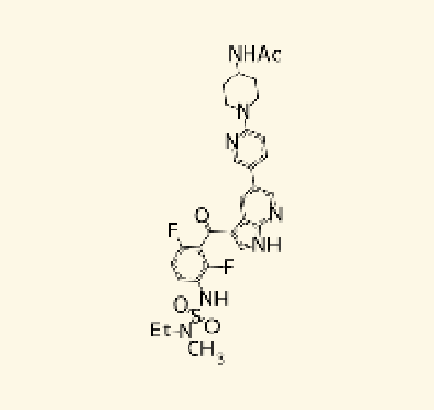 CCN(C)S(=O)(=O)Nc1ccc(F)c(C(=O)c2c[nH]c3ncc(-c4ccc(N5CCC(NC(C)=O)CC5)nc4)cc23)c1F